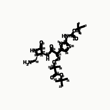 CC(C)(C)OC(=O)Nc1nc(C(=NOC(C)(C)C(=O)OC(C)(C)C)C(=O)N[C@@H]2C(=O)N[C@H]2CN)cs1